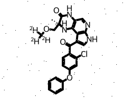 [2H]C([2H])([2H])OC[C@]1(C)Nc2c(cnc3[nH]cc(C(=O)c4ccc(Oc5ccccc5)cc4Cl)c23)NC1=O